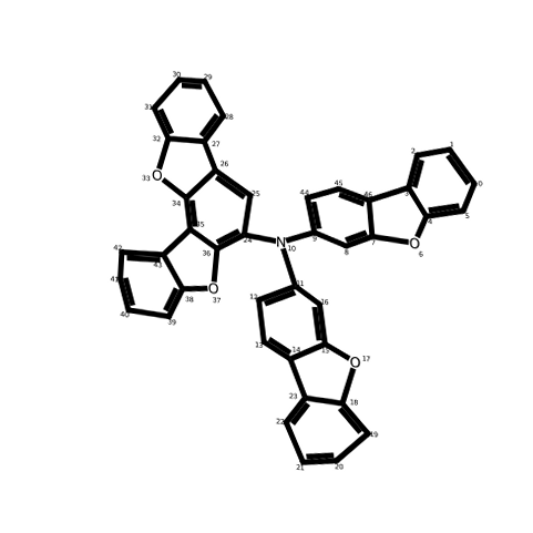 c1ccc2c(c1)oc1cc(N(c3ccc4c(c3)oc3ccccc34)c3cc4c5ccccc5oc4c4c3oc3ccccc34)ccc12